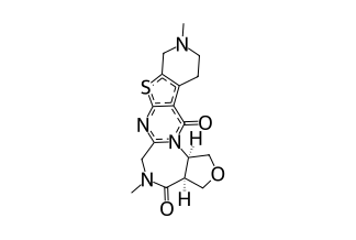 CN1CCc2c(sc3nc4n(c(=O)c23)[C@H]2COC[C@H]2C(=O)N(C)C4)C1